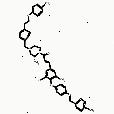 Cc1ccc(COc2ccc(Oc3c(C)cc(/C=C/C(=O)N4CCN(Cc5ccc(CCOc6ccc(C)cc6)cc5)C[C@H]4C)cc3Cl)nc2)cc1